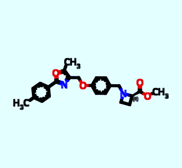 COC(=O)[C@H]1CCN1Cc1ccc(OCc2nc(-c3ccc(C)cc3)oc2C)cc1